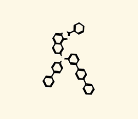 C1=CC(c2nc3c(ccc4ccc(N(c5ccc(-c6ccccc6)cc5)c5cccc(-c6ccc(-c7ccccc7)cc6)c5)cc43)o2)=CCC1